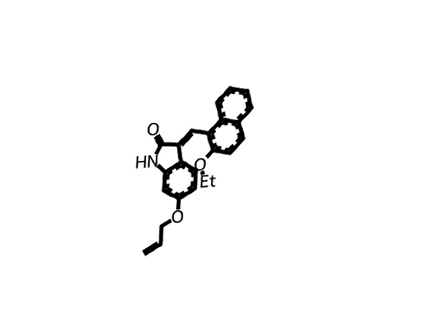 C=CCOc1ccc2c(c1)NC(=O)/C2=C/c1c(OCC)ccc2ccccc12